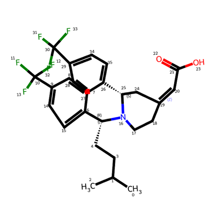 CC(C)CC[C@H](c1ccc(C(F)(F)F)cc1)N1CC/C(=C/C(=O)O)C[C@H]1c1ccc(C(F)(F)F)cc1